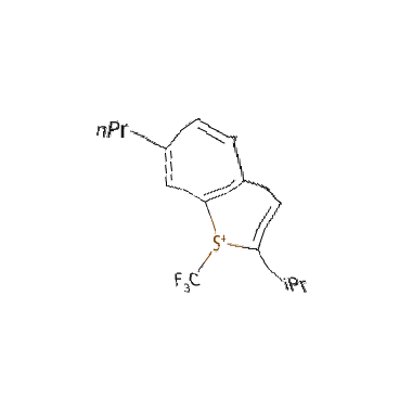 CCCc1ccc2cc(C(C)C)[s+](C(F)(F)F)c2c1